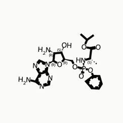 CC(C)OC(=O)[C@H](C)N[P@@](=O)(OC[C@H]1O[C@@H](n2cnc3c(N)ncnc32)[C@H](N)[C@@H]1O)Oc1ccccc1